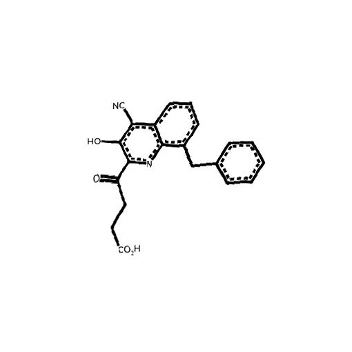 N#Cc1c(O)c(C(=O)CCC(=O)O)nc2c(Cc3ccccc3)cccc12